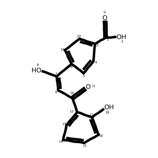 O=C(O)c1ccc(/C(O)=C\C(=O)c2ccccc2O)cc1